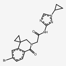 O=C(CN1CC2(CC2)c2cc(Br)ccc2C1=O)Nc1ncn(C2CC2)n1